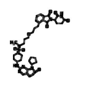 CN(CCCOCCCc1cccc2c1C(=O)N(C1CCC(=O)NC1=O)C2=O)S(=O)(=O)N1CCC(Nc2ncc3ccc(=O)n(C4CCCC4)c3n2)CC1